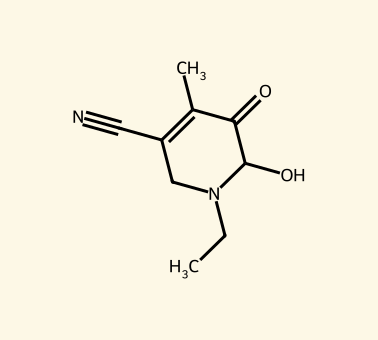 CCN1CC(C#N)=C(C)C(=O)C1O